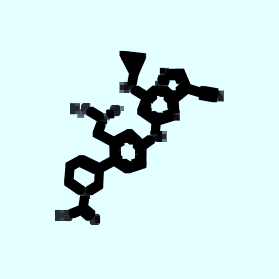 C[S+]([O-])Cc1cc(Nc2cc(NC3CC3)n3ncc(C#N)c3n2)ccc1C1=CCCN(C(=O)O)C1